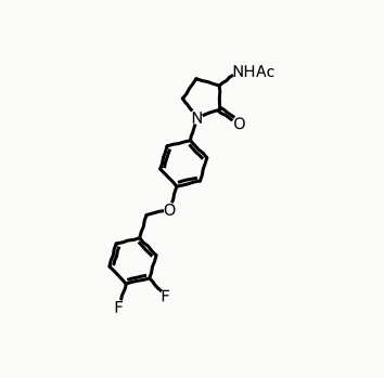 CC(=O)NC1CCN(c2ccc(OCc3ccc(F)c(F)c3)cc2)C1=O